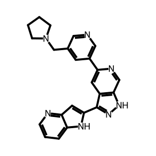 c1cnc2cc(-c3n[nH]c4cnc(-c5cncc(CN6CCCC6)c5)cc34)[nH]c2c1